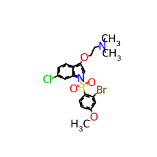 COc1ccc(S(=O)(=O)n2cc(OCCN(C)C)c3ccc(Cl)cc32)c(Br)c1